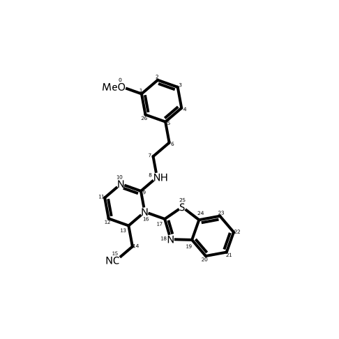 COc1cccc(CCNC2=NC=CC(CC#N)N2c2nc3ccccc3s2)c1